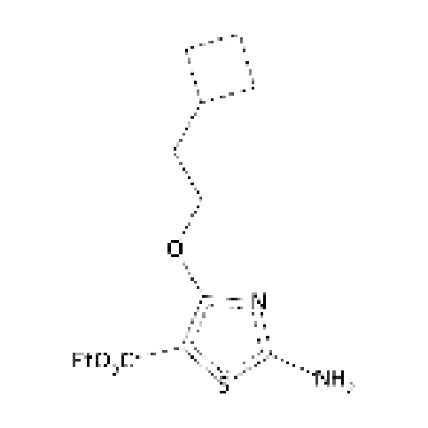 CCOC(=O)c1sc(N)nc1OCCC1CCC1